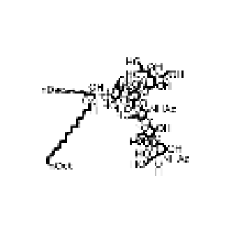 CCCCCCCC/C=C\CCCCCCCCCCCCCC(=O)N[C@@H](CO[C@@H]1OC(CO)[C@@H](O[C@@H]2OC(CO)[C@H](O[C@@H]3OC(CO)[C@H](O)[C@H](O[C@@H]4OC(CO)[C@H](O)[C@H](O[C@]5(C(=O)O)CC(O)[C@@H](NC(C)=O)C([C@H](O)[C@H](O)CO)O5)C4O)C3NC(C)=O)[C@H](O[C@]3(C(=O)O)CC(O)[C@@H](NC(=O)CO)C([C@H](O)[C@H](O)CO)O3)C2O)[C@H](O)C1O)[C@H](O)/C=C/CCCCCCCCCCCCC